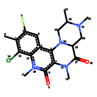 Cc1c(F)cc2c3c(c(=O)n(C)c2c1Cl)N(C)C(=O)C1CN(C)C(C)CN31